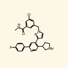 CNC(=O)c1cc(Cl)cc(Cn2ccc(-c3cc(-c4ccc(F)cc4)ncc3C3CCNC3)n2)c1